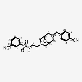 N#Cc1ccc(CN2CC3CN(CCNS(=O)(=O)c4cccc(C#N)c4)CC(C2)O3)cc1